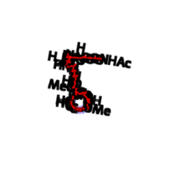 CO[C@H]1C[C@@H]2CC[C@@H](C)[C@@](O)(O2)C(=O)C(=O)N2CCCC[C@H]2C(=O)O[C@H]([C@H](C)C[C@@H]2CC[C@@H](OC(=O)NCc3cnc(N4CCN(c5ncc(C)c(-c6c[nH]c7ncc(-c8nn(CCCCNC(=O)CCOCCOCCOCCOCCNC(C)=O)c9ncnc(N)c89)cc67)n5)CC4)nc3)[C@H](OC)C2)CC(=O)[C@H](C)/C=C(\C)[C@@H](O)[C@@H](O)C(=O)[C@H](C)C[C@H](C)/C=C/C=C/C=C/1C